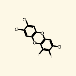 Clc1cc2c(cc1Cl)Oc1c(cc(Cl)c(I)c1I)O2